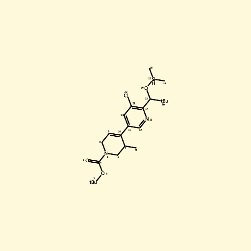 CC1CN(C(=O)OC(C)(C)C)CC=C1c1cnc(C(O[SiH](C)C)C(C)(C)C)c(Cl)c1